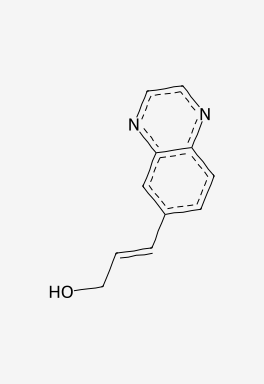 OCC=Cc1ccc2nccnc2c1